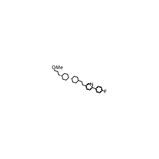 COCCC[C@H]1CC[C@H](C2CCC(CCc3ccc(-c4ccc(F)cc4)nc3)CC2)CC1